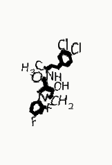 C=C1C(O)=C(C(=O)NC(C)CCc2ccc(Cl)c(Cl)c2)CN1c1ccc(F)cc1F